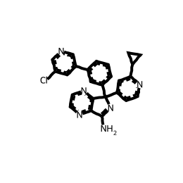 NC1=NC(c2cccc(-c3cncc(Cl)c3)c2)(c2ccnc(C3CC3)c2)c2nccnc21